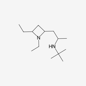 CCC1CC(CC(C)NC(C)(C)C)N1CC